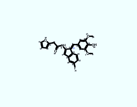 COc1cc(/C=C2/C(NC(=O)Cc3ccco3)=Cc3cc(F)ccc32)cc(OC)c1O